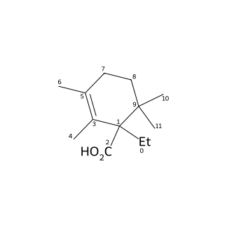 CCC1(C(=O)O)C(C)=C(C)CCC1(C)C